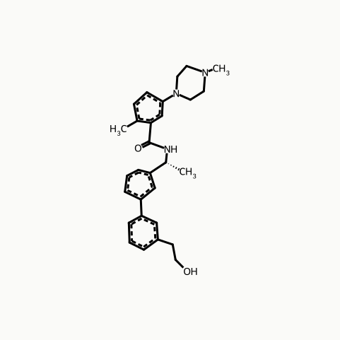 Cc1ccc(N2CCN(C)CC2)cc1C(=O)N[C@H](C)c1cccc(-c2cccc(CCO)c2)c1